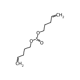 C=CCCCOS(=O)OCCCC=C